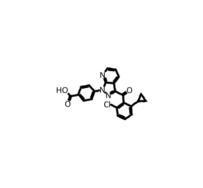 O=C(O)c1ccc(-n2nc(C(=O)c3c(Cl)cccc3C3CC3)c3cccnc32)cc1